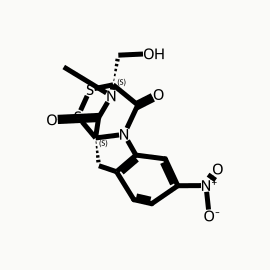 CN1C(=O)[C@@]23Cc4ccc([N+](=O)[O-])cc4N2C(=O)[C@]1(CO)SS3